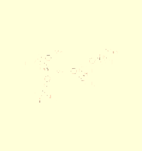 COc1cc2c(cc1OCCCCCOc1cc3c(cc1OC)C(=O)N1C=C(C)C[C@H]1[C@H](O)N3C(=O)OCc1ccc(NC(=O)[C@H](C)NC(=O)[C@@H](N)C(C)C)cc1)N(C(=O)OCc1ccc(NC(=O)[C@H](C)NC(=O)[C@@H](N)C(C)C)cc1)[C@@H](O)[C@@H]1CC(C)=CN1C2=O